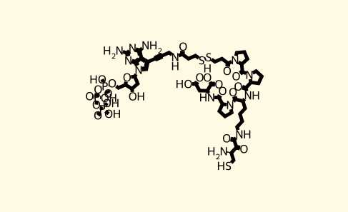 Nc1nc(N)c2c(C#CCNC(=O)CCSSCCC(=O)N3CCCC3C(=O)N3CCCC3C(=O)NC(CCCCNC(=O)C(=O)[C@@H](N)CS)C(=O)N3CCCC3C(=O)NC(CC(=O)O)C(=O)O)cn(C3CC(O)C(COP(=O)(O)OP(=O)(O)OP(=O)(O)O)O3)c2n1